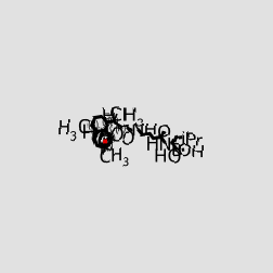 CC(C)CC(NC(=O)CCCNC(=O)C[C@H]1O[C@@H]2O[C@@]3(C)CC[C@H]4[C@H](C)CC[C@@H]([C@H]1C)[C@@]24OO3)B(O)O